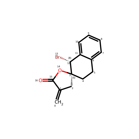 C=C1C[C@]2(CCc3ccccc3[C@H]2Br)OC1=O